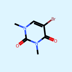 Cn1cc(Br)c(=O)n(C)c1=O